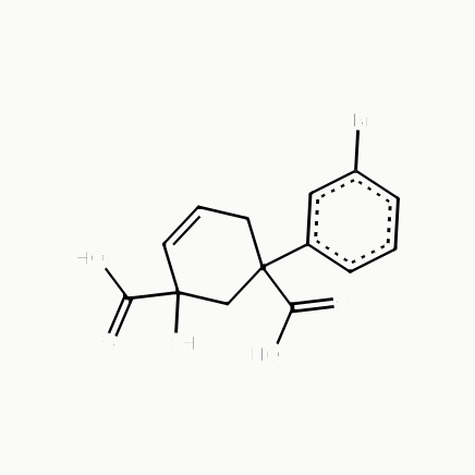 CC1(C(=O)O)C=CCC(C(=O)O)(c2cccc(Br)c2)C1